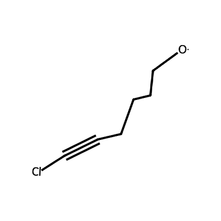 [O]CCCCC#CCl